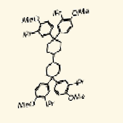 COc1ccc(C2(c3ccc(OC)c(C(C)C)c3)CCC(C3CCC(c4ccc(OC)c(C(C)C)c4)(c4ccc(OC)c(C(C)C)c4)CC3)CC2)cc1C(C)C